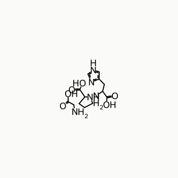 NC(Cc1c[nH]cn1)C(=O)O.NCC(=O)O.O=C(O)C1CCCN1